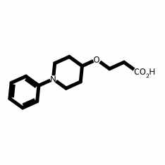 O=C(O)CCOC1CCN(c2ccccc2)CC1